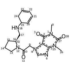 Cn1c(=O)c2c(ncn2CC(=O)N2CCC[C@H]2CNC2C=CC=CC2)n(C)c1=O